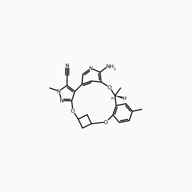 Cc1ccc2c(c1)[C@@H](C)Oc1cc(cnc1N)-c1c(nn(C)c1C#N)OC1CC(C1)O2